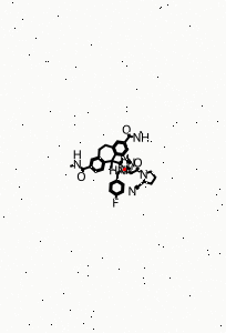 CNC(=O)c1ccc2c(c1)CCc1cc(C(=O)NC)ccc1C2(C[C@H](NCC(=O)N1CCCC1C#N)c1ccc(F)cc1)c1nnn[nH]1